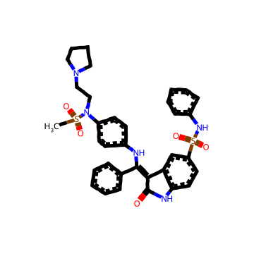 CS(=O)(=O)N(CCN1CCCC1)c1ccc(NC(=C2C(=O)Nc3ccc(S(=O)(=O)Nc4ccccc4)cc32)c2ccccc2)cc1